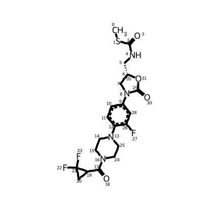 CSC(=O)NC[C@H]1CN(c2ccc(N3CCN(C(=O)C4CC4(F)F)CC3)c(F)c2)C(=O)O1